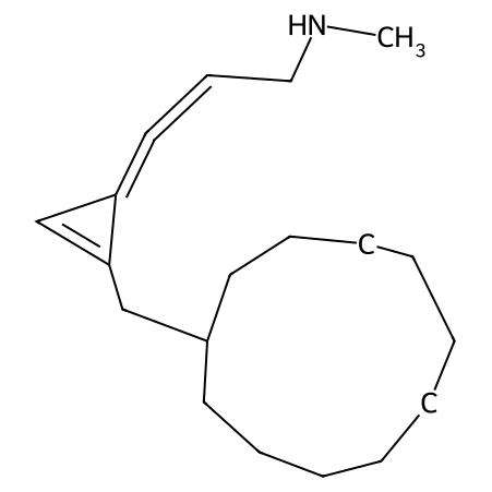 CNCC=C=C1C=C1CC1CCCCCCCCCC1